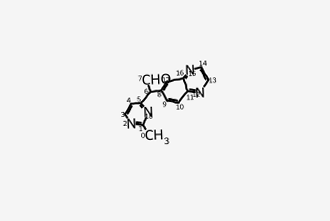 Cc1nccc(C(C=O)c2ccc3nccnc3c2)n1